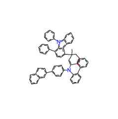 CC1(c2ccc(-c3ccccc3)c3c2c2ccccc2n3-c2ccccc2)C=C(N(c2ccc(-c3ccc4ccccc4c3)cc2)c2ccccc2-c2ccccc2)C=CC1